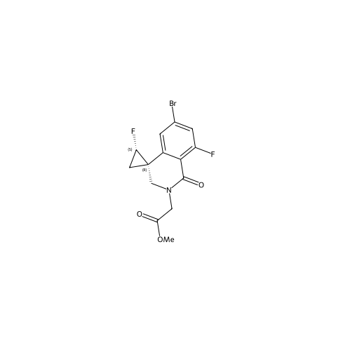 COC(=O)CN1C[C@@]2(C[C@@H]2F)c2cc(Br)cc(F)c2C1=O